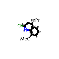 CCCc1cc(Cl)nc2c(OC)cccc12